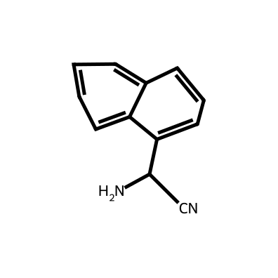 N#CC(N)c1cccc2ccccc12